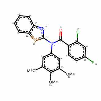 COc1cc(N(C(=O)c2ccc(F)cc2Cl)c2nc3ccccc3s2)cc(OC)c1OC